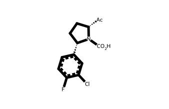 CC(=O)[C@H]1CC[C@@H](c2ccc(F)c(Cl)c2)N1C(=O)O